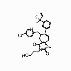 C=CC(C)(F)c1cccc(C2=CCc3c(c(=O)n(CCCO)c(=O)n3C)CC2Cc2ccc(Cl)cn2)c1